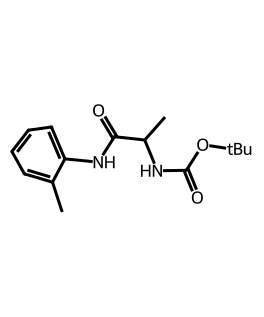 Cc1ccccc1NC(=O)C(C)NC(=O)OC(C)(C)C